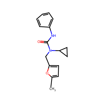 Cc1ccc(CN(C(=O)Nc2ccccc2)C2CC2)o1